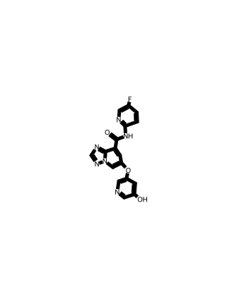 O=C(Nc1ccc(F)cn1)c1cc(Oc2cncc(O)c2)cn2ncnc12